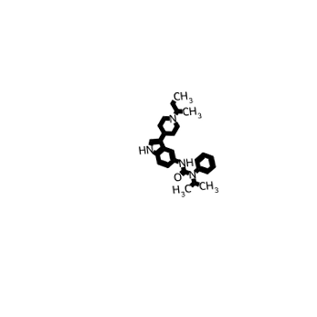 CCC(C)N1CCC(c2c[nH]c3ccc(NC(=O)N(c4ccccc4)C(C)C)cc23)CC1